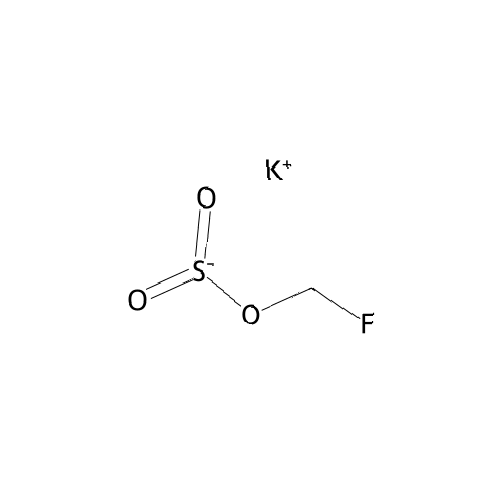 O=[S-](=O)OCF.[K+]